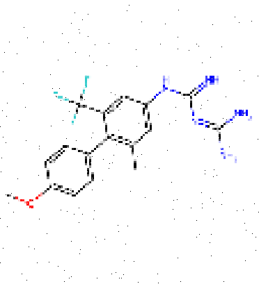 COc1ccc(-c2c(C)cc(NC(=N)N=C(N)N)cc2C(F)(F)F)cc1